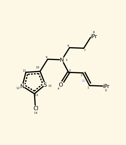 CC(C)/C=C/C(=O)N(CCC(C)C)Cc1cnc(Cl)s1